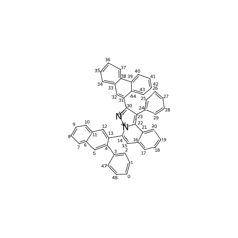 c1ccc(-c2cc3ccccc3cc2-c2cc3ccccc3c3c(-c4ccccc4)c(-c4cc5ccccc5c5ccccc45)nn23)cc1